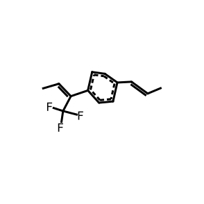 C/C=C(/c1ccc(/C=C/C)cc1)C(F)(F)F